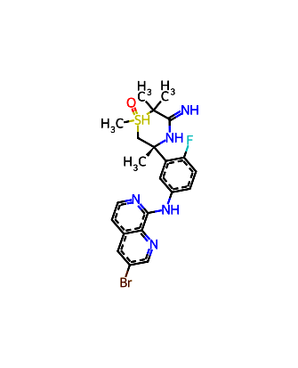 CC1(C)C(=N)N[C@](C)(c2cc(Nc3nccc4cc(Br)cnc34)ccc2F)C[SH]1(C)=O